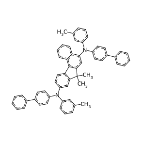 Cc1cccc(N(c2ccc(-c3ccccc3)cc2)c2ccc3c(c2)C(C)(C)c2cc(N(c4ccc(-c5ccccc5)cc4)c4cccc(C)c4)c4ccccc4c2-3)c1